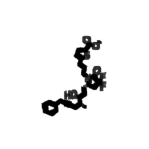 COC(=O)c1ccc(CCCN2C(=O)C(F)(F)C[C@@H]2C=C[C@H](O)[C@@H](C)CC#CCc2ccccc2)s1